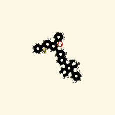 C=Cc1c(C=C)c(-c2ccc3cc(-c4cc5c(ccc6c7ccccc7sc65)c5c4oc4ccccc45)ccc3c2)c(=C/C)/c(=C\C)c1-c1ccccc1